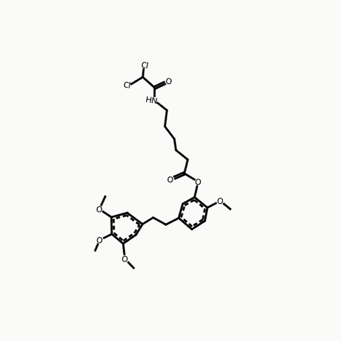 COc1ccc(CCc2cc(OC)c(OC)c(OC)c2)cc1OC(=O)CCCCCNC(=O)C(Cl)Cl